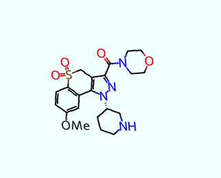 COc1ccc2c(c1)-c1c(c(C(=O)N3CCOCC3)nn1[C@H]1CCCNC1)CS2(=O)=O